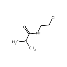 CN(C)C(=O)NCCCl